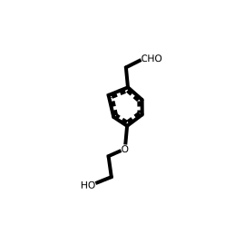 O=CCc1ccc(OCCO)cc1